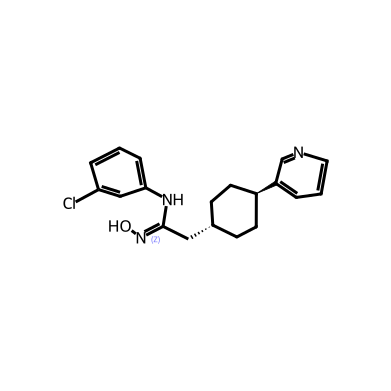 O/N=C(/C[C@H]1CC[C@H](c2cccnc2)CC1)Nc1cccc(Cl)c1